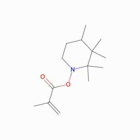 C=C(C)C(=O)ON1CCC(C)C(C)(C)C1(C)C